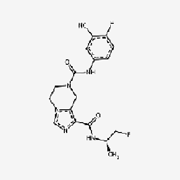 C[C@H](CF)NC(=O)c1ncn2c1CN(C(=O)Nc1ccc(F)c(C#N)c1)CC2